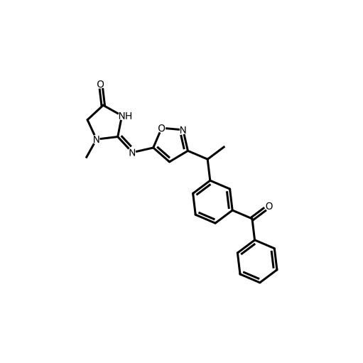 CC(c1cccc(C(=O)c2ccccc2)c1)c1cc(/N=C2\NC(=O)CN2C)on1